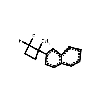 CC1(c2ccc3ccccc3c2)CCC1(F)F